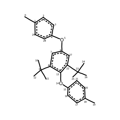 Cc1ccc(Oc2cc(C(C)(C)C)c(Oc3ccc(C)cc3)c(C(C)(C)C)c2)cc1